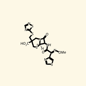 CON=C(C(=O)NC1C(=O)N2CC(CSc3ncns3)(C(=O)O)CS[C@H]12)c1cscn1